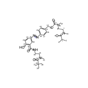 CC(C)C(=O)N(C)CCN(C)C(=O)OCc1ccc(/N=N/c2ccc(O)c(C(=O)NCCN(C)C(=O)C(C)(C)C)c2)cc1